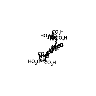 O=C(O)CC[C@H](NC(=O)N[C@@H](CCCCNC(=O)[C@H](Cc1ccc2ccccc2c1)NC(=O)c1ccc2c(n1)CCN(C(=O)CN1CCN(CC(=O)O)CCN(CC(=O)O)CCN(CC(=O)O)CC1)C2)C(=O)O)C(=O)O